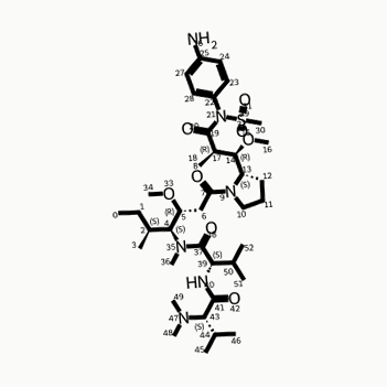 CC[C@H](C)[C@@H]([C@@H](CC(=O)N1CCC[C@H]1[C@H](OC)[C@@H](C)C(=O)N(c1ccc(N)cc1)S(C)(=O)=O)OC)N(C)C(=O)[C@@H](NC(=O)[C@H](C(C)C)N(C)C)C(C)C